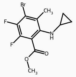 COC(=O)c1c(F)c(F)c(Br)c(C)c1NC1CC1